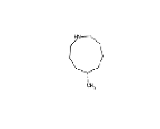 C[C@H]1CCCCNCCC1